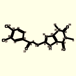 Cn1c(=O)c2[nH]c(SCC(=O)c3ccc(Cl)c(Cl)c3)nc2n(C)c1=O